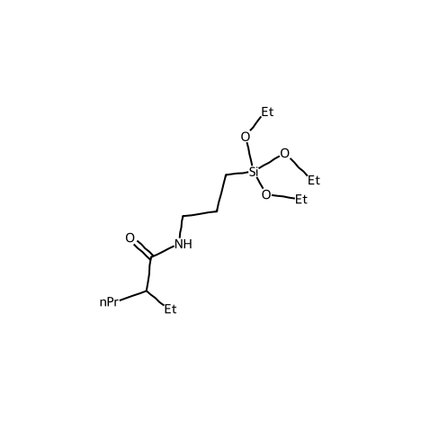 CCCC(CC)C(=O)NCCC[Si](OCC)(OCC)OCC